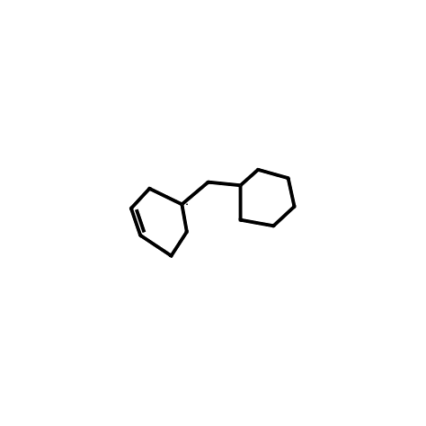 C1=CC[C](CC2CCCCC2)CC1